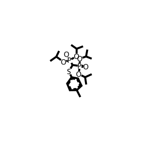 Cc1ccc(SC(P(=O)(OC(C)C)OC(C)C)P(=O)(OC(C)C)OC(C)C)cc1